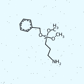 CO[Si](CCCN)(OC)OCc1ccccc1